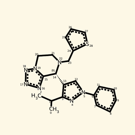 CC(C)c1nn(-c2ccccc2)cc1[C@@H]1c2nnnn2CCN1Cc1cccs1